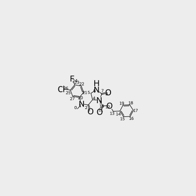 CN(C(=O)C1CNC(=O)N1C(=O)OCc1ccccc1)c1ccc(F)c(Cl)c1